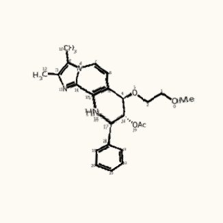 COCCO[C@@H]1c2ccn3c(C)c(C)nc3c2N[C@H](c2ccccc2)[C@H]1OC(C)=O